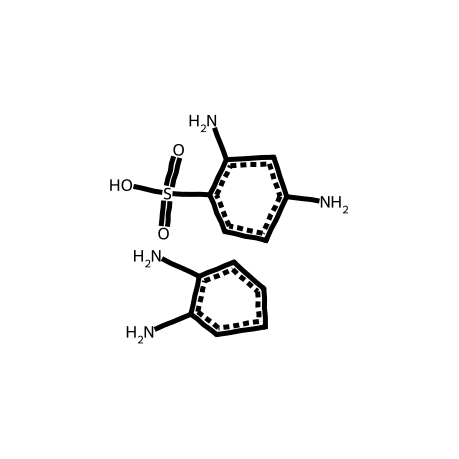 Nc1ccc(S(=O)(=O)O)c(N)c1.Nc1ccccc1N